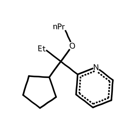 CCCOC(CC)(c1ccccn1)C1CCCC1